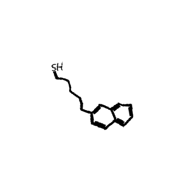 SCCCCCc1ccc2ccccc2c1